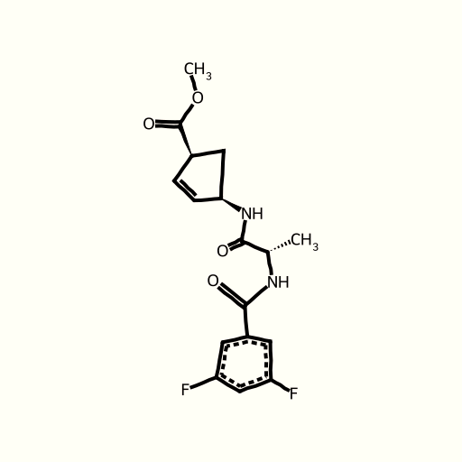 COC(=O)[C@@H]1C=C[C@H](NC(=O)[C@H](C)NC(=O)c2cc(F)cc(F)c2)C1